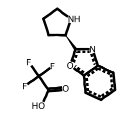 O=C(O)C(F)(F)F.c1ccc2oc([C@H]3CCCN3)nc2c1